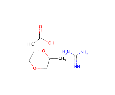 CC(=O)O.CC1COCCO1.N=C(N)N